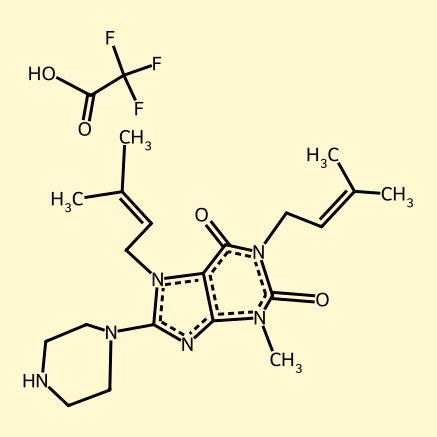 CC(C)=CCn1c(=O)c2c(nc(N3CCNCC3)n2CC=C(C)C)n(C)c1=O.O=C(O)C(F)(F)F